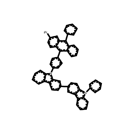 CC(C)c1ccc2c(-c3ccc(-n4c5ccccc5c5ccc(-c6ccc7c(c6)c6ccccc6n7-c6ccccc6)cc54)cc3)c3ccccc3c(-c3ccccc3)c2c1